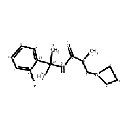 C[C@@H](CN1CCC1)C(=O)NC(C)(C)c1ccccc1F